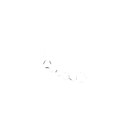 CCCCc1ccc(NC(=O)CC2CSC(=NC3CCCCCC3)N2C)cc1.Cl